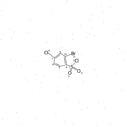 O=S(=O)(Cl)c1ccc(Cl)cc1Br